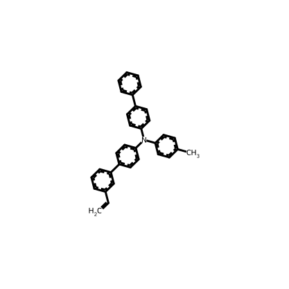 C=Cc1cccc(-c2ccc(N(c3ccc(C)cc3)c3ccc(-c4ccccc4)cc3)cc2)c1